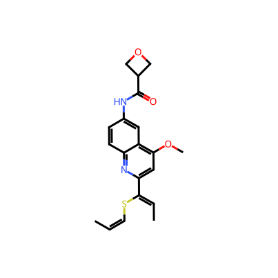 C/C=C\S/C(=C\C)c1cc(OC)c2cc(NC(=O)C3COC3)ccc2n1